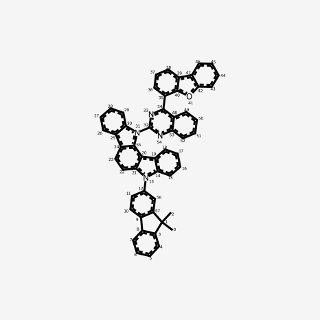 CC1(C)c2ccccc2-c2ccc(-n3c4ccccc4c4c3ccc3c5ccccc5n(-c5nc(-c6cccc7c6oc6ccccc67)c6ccccc6n5)c34)cc21